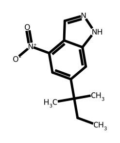 CCC(C)(C)c1cc([N+](=O)[O-])c2cn[nH]c2c1